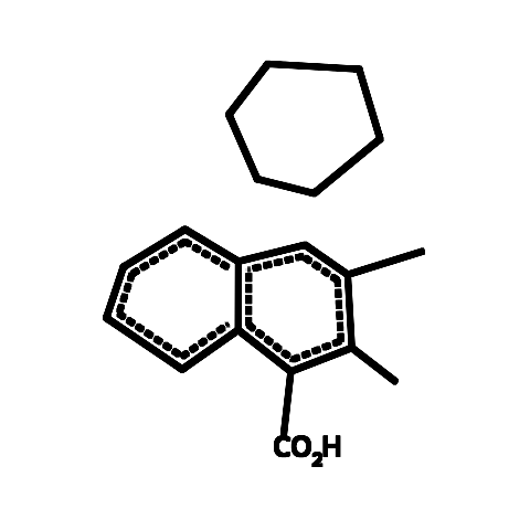 C1CCCCC1.Cc1cc2ccccc2c(C(=O)O)c1C